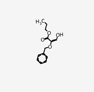 CCCOC(=O)C(=CO)OCc1ccccc1